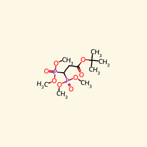 COP(=O)(OC)C(CC(=O)OC(C)(C)C)P(=O)(OC)OC